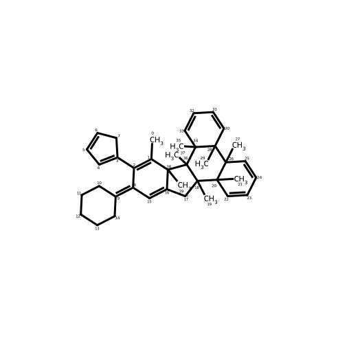 CC1=C(C2=CC=CC2)C(=C2CCCCC2)C=C2[C]C3(C)C4(C)C=CC=CC4(C)C4(C)C=CC=CC4(C)C3(C)C21C